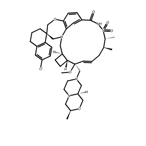 CO[C@]1(CN2CCN3C[C@H](C)OC[C@@H]3C2)/C=C/C[C@H](C)[C@@H](C)S(=O)(=O)NC(=O)c2ccc3c(c2)N(C[C@@H]2CC[C@H]21)C[C@@]1(CCCc2cc(Cl)ccc21)CO3